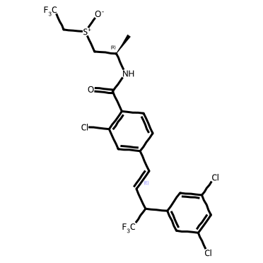 C[C@H](C[S+]([O-])CC(F)(F)F)NC(=O)c1ccc(/C=C/C(c2cc(Cl)cc(Cl)c2)C(F)(F)F)cc1Cl